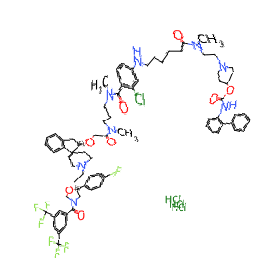 CN(CCN1CCC(OC(=O)Nc2ccccc2-c2ccccc2)CC1)C(=O)CCCCCNc1ccc(C(=O)N(C)CCCN(C)C(=O)CO[C@H]2Cc3ccccc3C23CCN(CC[C@]2(c4ccc(F)cc4)CN(C(=O)c4cc(C(F)(F)F)cc(C(F)(F)F)c4)CO2)CC3)c(Cl)c1.Cl.Cl.Cl